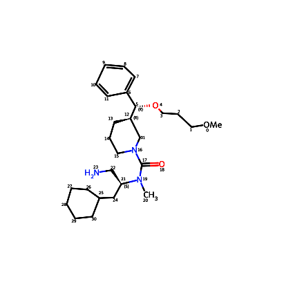 COCCCO[C@@H](c1ccccc1)[C@@H]1CCCN(C(=O)N(C)[C@H](CN)CC2CCCCC2)C1